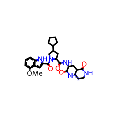 COc1cccc2[nH]c(C(=O)N3CC(C4CCCC4)CC3C(=O)NC(CC3CCCNC3=O)C(N)=O)cc12